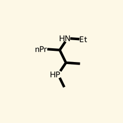 CCCC(NCC)C(C)PC